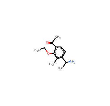 CCOc1c(C(C)=O)ccc(C(C)N)c1C